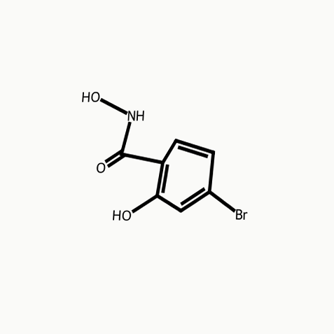 O=C(NO)c1ccc(Br)cc1O